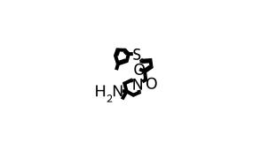 Cc1cccc(Sc2ccc(C(=O)N3CCC(C)(N)CC3)o2)c1